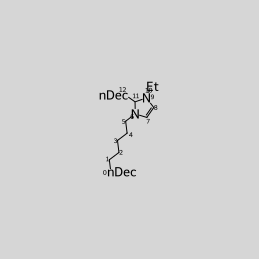 CCCCCCCCCCCCCCCN1C=CN(CC)C1CCCCCCCCCC